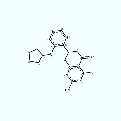 Cc1nc(N)nc2c1C(=O)CC(c1ncccc1OC1CCCC1)C2